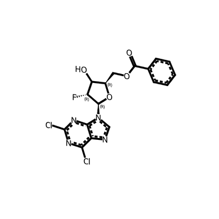 O=C(OC[C@H]1O[C@@H](n2cnc3c(Cl)nc(Cl)nc32)[C@H](F)C1O)c1ccccc1